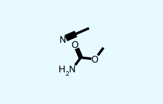 CC#N.COC(N)=O